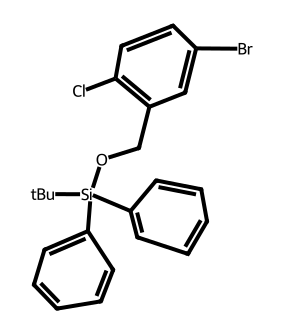 CC(C)(C)[Si](OCc1cc(Br)ccc1Cl)(c1ccccc1)c1ccccc1